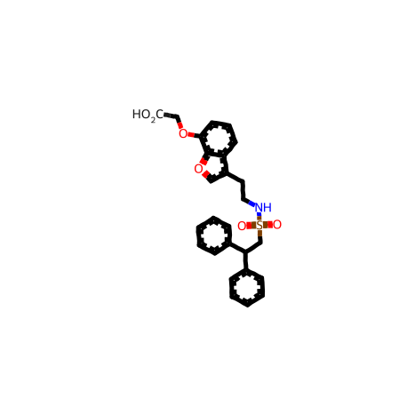 O=C(O)COc1cccc2c(CCNS(=O)(=O)CC(c3ccccc3)c3ccccc3)coc12